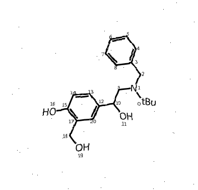 CC(C)(C)N(Cc1ccccc1)CC(O)c1ccc(O)c(CO)c1